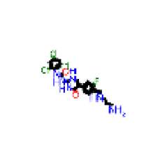 NCCCNCc1ccc(-c2c[nH]c(NC(=O)Nc3c(Cl)cc(Cl)cc3Cl)nc2=O)cc1F